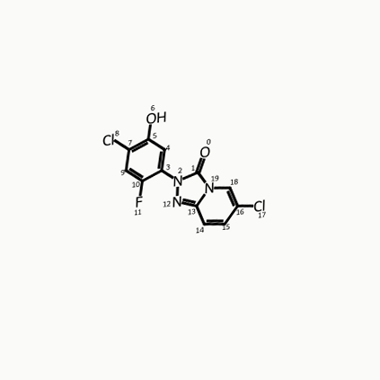 O=c1n(-c2cc(O)c(Cl)cc2F)nc2ccc(Cl)cn12